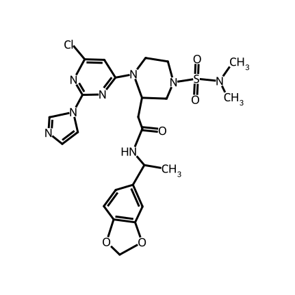 CC(NC(=O)CC1CN(S(=O)(=O)N(C)C)CCN1c1cc(Cl)nc(-n2ccnc2)n1)c1ccc2c(c1)OCO2